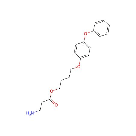 NCCC(=O)OCCCCOc1ccc(Oc2ccccc2)cc1